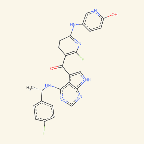 C[C@H](Nc1ncnc2[nH]cc(C(=O)C3=C(F)N=C(Nc4ccc(O)nc4)CC3)c12)c1ccc(F)cc1